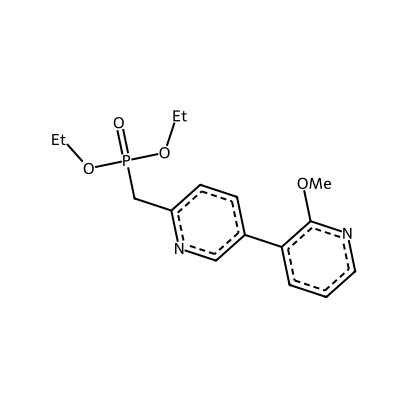 CCOP(=O)(Cc1ccc(-c2cccnc2OC)cn1)OCC